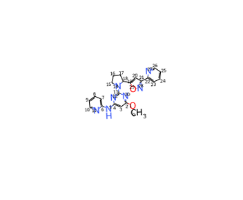 COc1cc(Nc2ccccn2)nc(N2CCCC2c2cc(-c3ccccn3)no2)n1